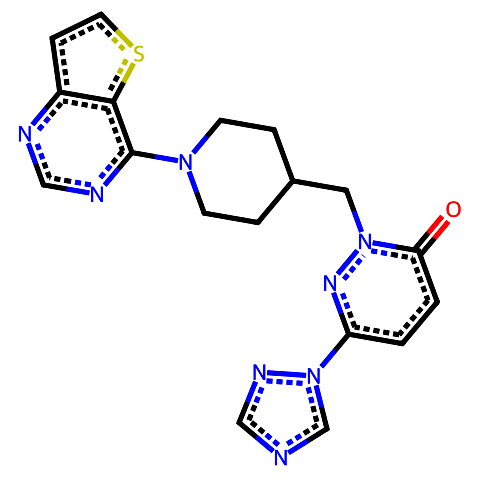 O=c1ccc(-n2cncn2)nn1CC1CCN(c2ncnc3ccsc23)CC1